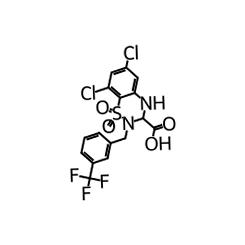 O=C(O)C1Nc2cc(Cl)cc(Cl)c2S(=O)(=O)N1Cc1cccc(C(F)(F)F)c1